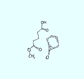 COC(=O)CCCC(=O)O.O=c1c2ccccc12